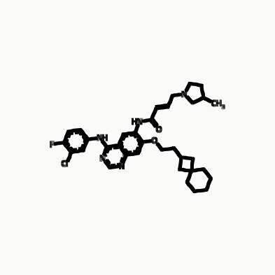 CC1CCN(C/C=C/C(=O)Nc2cc3c(Nc4ccc(F)c(Cl)c4)ncnc3cc2OCCC2CC3(CCCCC3)C2)C1